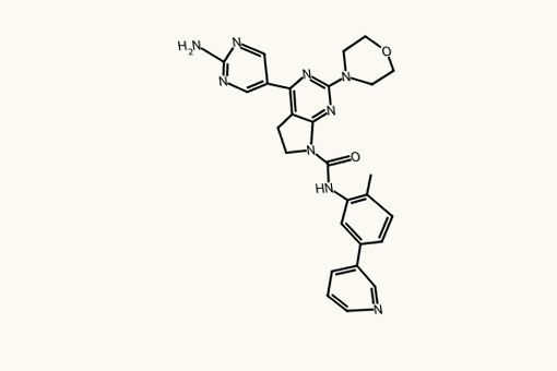 Cc1ccc(-c2cccnc2)cc1NC(=O)N1CCc2c(-c3cnc(N)nc3)nc(N3CCOCC3)nc21